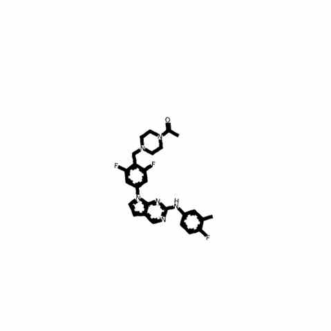 CC(=O)N1CCN(Cc2c(F)cc(-n3ccc4cnc(Nc5ccc(F)c(C)c5)nc43)cc2F)CC1